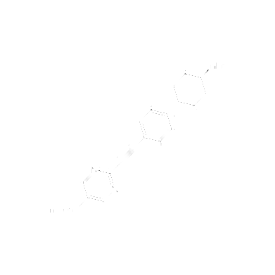 CCCCCCCc1cnc(C#Cc2ccc([C@H]3CC[C@H](CCC)CC3)cc2)nc1